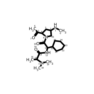 CNC1CC(C(C)=O)N(C(=O)C(NC(=O)C(C)N(C)C)C2CCCCC2)C1